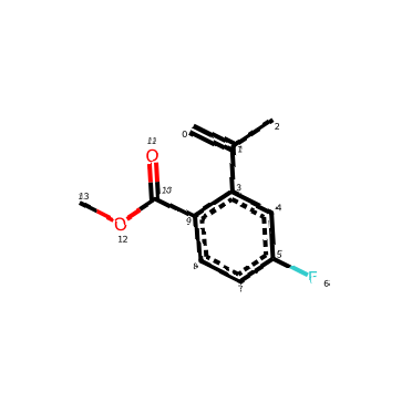 C=C(C)c1cc(F)ccc1C(=O)OC